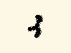 c1ccc(-c2ccc(N(c3ccc(-c4ccc5c(ccc6ccc7ccccc7c65)c4)cc3)c3ccc4oc5cc6ccccc6cc5c4c3)cc2)cc1